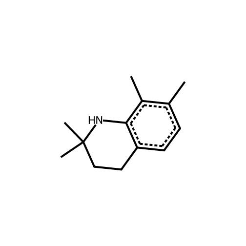 Cc1ccc2c(c1C)NC(C)(C)CC2